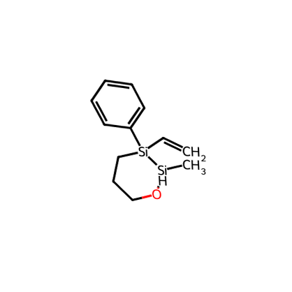 C=C[Si]1(c2ccccc2)CCCO[SiH]1C